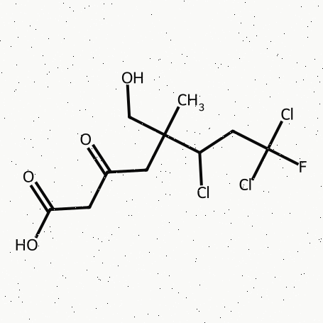 CC(CO)(CC(=O)CC(=O)O)C(Cl)CC(F)(Cl)Cl